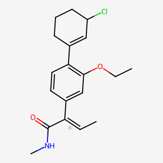 C/C=C(/C(=O)NC)c1ccc(C2=CC(Cl)CCC2)c(OCC)c1